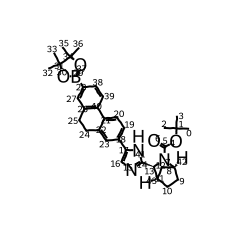 CC(C)(C)OC(=O)N1[C@@H]2CC[C@@H](C2)[C@H]1c1ncc(-c2ccc3c(c2)CCc2cc(B4OC(C)(C)C(C)(C)O4)ccc2-3)[nH]1